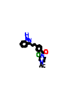 CC(=O)N1CCN(C(=O)c2ccc(C=Cc3n[nH]c4ccccc34)cc2Cl)CC1